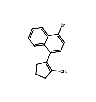 CC1=C(c2ccc(Br)c3ccccc23)CCC1